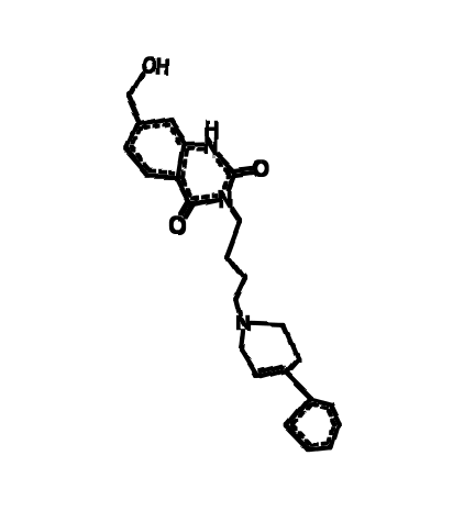 O=c1[nH]c2cc(CO)ccc2c(=O)n1CCCCN1CC=C(c2ccccc2)CC1